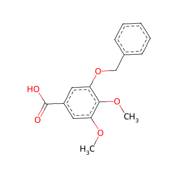 COc1cc(C(=O)O)cc(OCc2ccccc2)c1OC